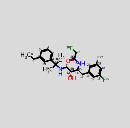 CCc1cccc(C(C)(C)NC[C@@H](O)[C@H](Cc2cc(F)cc(F)c2)NC(=O)CF)c1